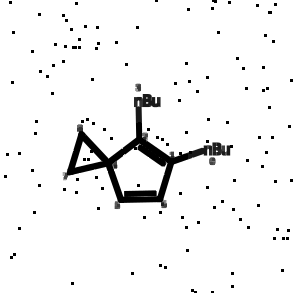 CCCCC1=C(CCCC)C2(C=C1)CC2